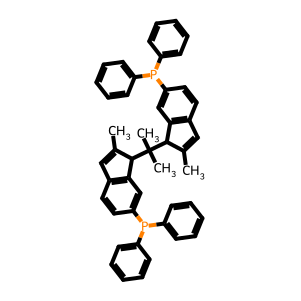 CC1=Cc2ccc(P(c3ccccc3)c3ccccc3)cc2C1C(C)(C)C1C(C)=Cc2ccc(P(c3ccccc3)c3ccccc3)cc21